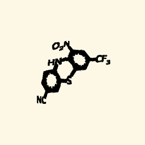 N#Cc1ccc2c(c1)Sc1cc(C(F)(F)F)cc([N+](=O)[O-])c1N2